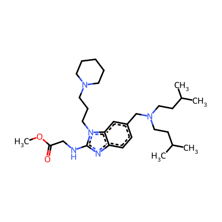 COC(=O)CNc1nc2ccc(CN(CCC(C)C)CCC(C)C)cc2n1CCCN1CCCCC1